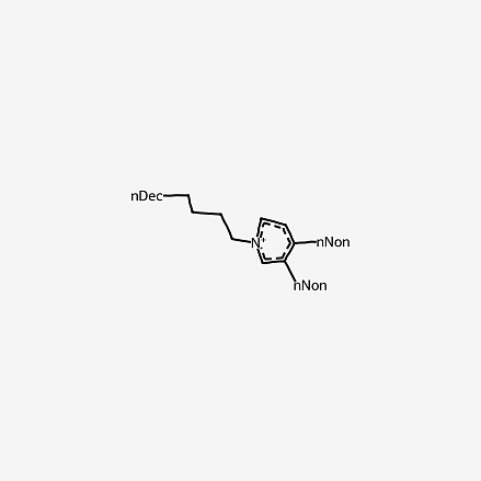 CCCCCCCCCCCCCC[n+]1ccc(CCCCCCCCC)c(CCCCCCCCC)c1